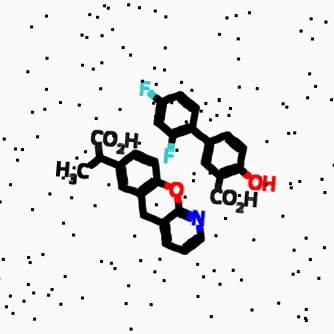 CC(C(=O)O)c1ccc2c(c1)Cc1cccnc1O2.O=C(O)c1cc(-c2ccc(F)cc2F)ccc1O